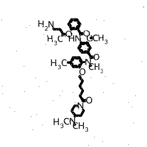 COc1cc(C(=O)N(C)c2ccc(C)cc2OCCCCCC(=O)N2CCC(N(C)C)CC2)ccc1NC(=O)c1ccccc1O[C@@H](C)CCN